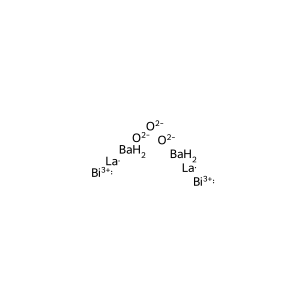 [BaH2].[BaH2].[Bi+3].[Bi+3].[La].[La].[O-2].[O-2].[O-2]